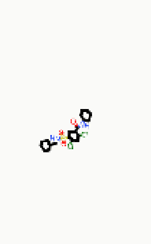 O=C(Nc1ccccc1)c1cc(S(=O)(=O)NCc2ccccc2)c(Cl)cc1Cl